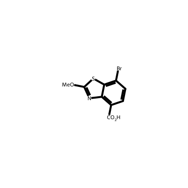 COc1nc2c(C(=O)O)ccc(Br)c2s1